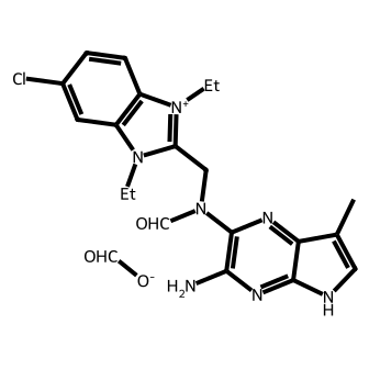 CCn1c(CN(C=O)c2nc3c(C)c[nH]c3nc2N)[n+](CC)c2ccc(Cl)cc21.O=C[O-]